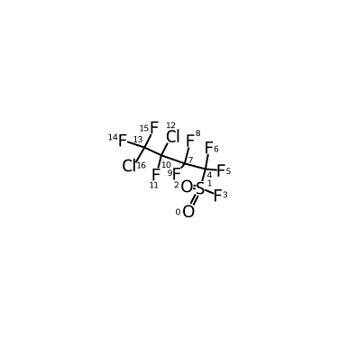 O=S(=O)(F)C(F)(F)C(F)(F)C(F)(Cl)C(F)(F)Cl